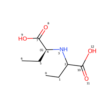 CCC(N[C@@H](CC)C(=O)O)C(=O)O